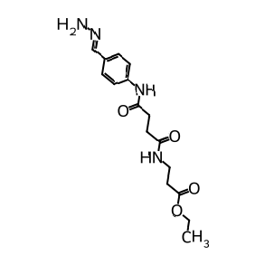 CCOC(=O)CCNC(=O)CCC(=O)Nc1ccc(C=NN)cc1